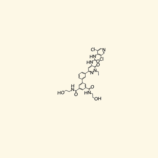 CCn1nc(-c2cccc(-c3cc(C(=O)NCCO)cc(C(=O)NCCO)c3)c2)cc(NC(=O)Nc2c(Cl)cncc2Cl)c1=O